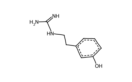 N=C(N)NCCc1cccc(O)c1